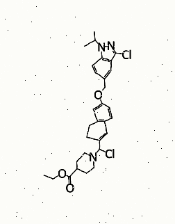 CCOC(=O)C1CCN(C(Cl)C2=Cc3ccc(OCc4ccc5c(c4)c(Cl)nn5C(C)C)cc3CC2)CC1